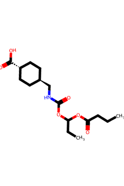 CCCC(=O)OC(CC)OC(=O)NC[C@H]1CC[C@H](C(=O)O)CC1